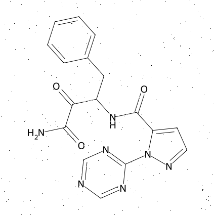 NC(=O)C(=O)C(Cc1ccccc1)NC(=O)c1ccnn1-c1ncncn1